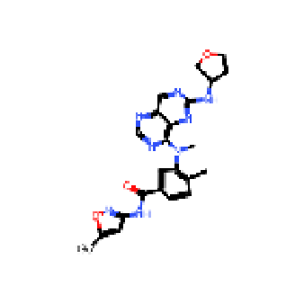 Cc1ccc(C(=O)Nc2cc(C(C)(C)C)on2)cc1N(C)c1ncnc2cnc(NC3CCOC3)nc12